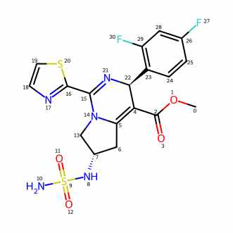 COC(=O)C1=C2C[C@H](NS(N)(=O)=O)CN2C(c2nccs2)=N[C@H]1c1ccc(F)cc1F